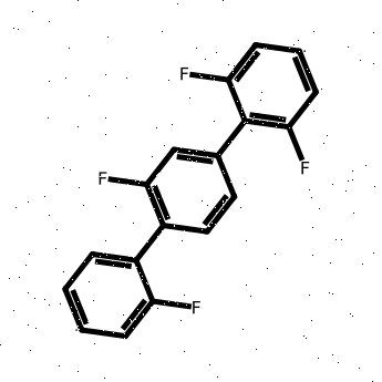 Fc1c[c]ccc1-c1ccc(-c2c(F)c[c]cc2F)cc1F